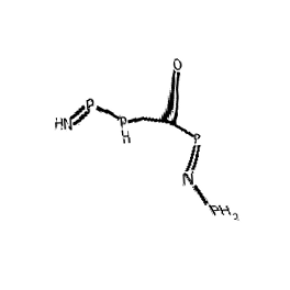 N=PPC(=O)/P=N/P